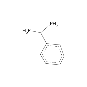 PC(P)c1ccccc1